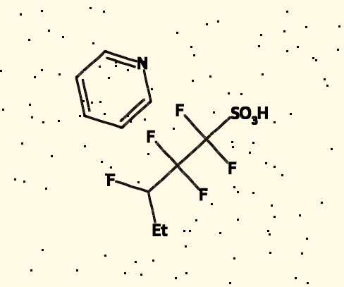 CCC(F)C(F)(F)C(F)(F)S(=O)(=O)O.c1ccncc1